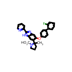 CC1(c2cc3[nH]c(-c4ccccn4)nc3cc2Oc2ccc(-c3ccccc3F)cc2)CCCN1C(=O)O